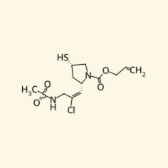 C=CCOC(=O)N1C[C@@H](S)C[C@H]1/C=C(/Cl)CNS(C)(=O)=O